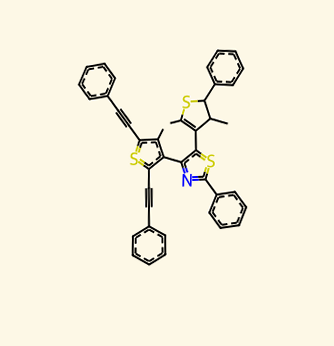 CC1=C(c2sc(-c3ccccc3)nc2-c2c(C#Cc3ccccc3)sc(C#Cc3ccccc3)c2C)C(C)C(c2ccccc2)S1